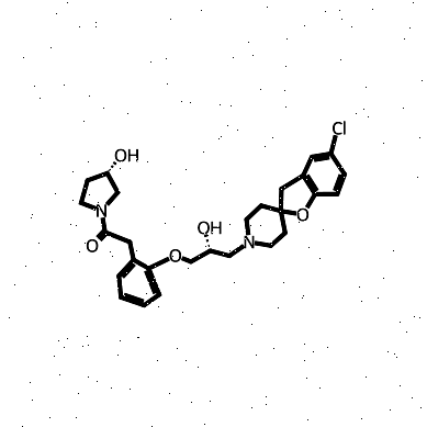 O=C(Cc1ccccc1OC[C@H](O)CN1CCC2(CC1)Cc1cc(Cl)ccc1O2)N1CC[C@H](O)C1